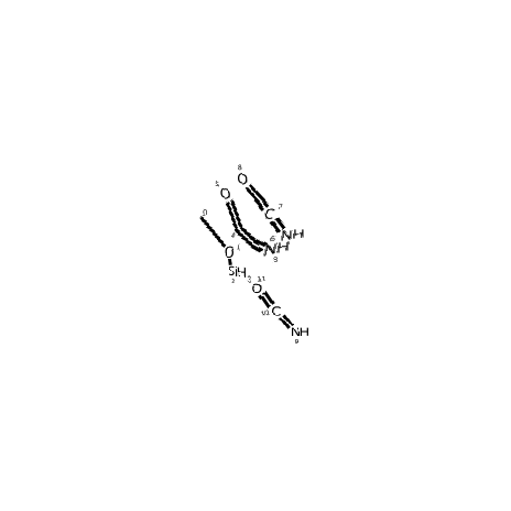 CO[SiH3].N=C=O.N=C=O.N=C=O